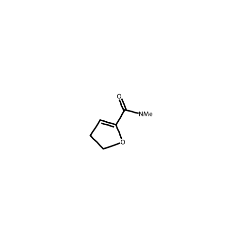 CNC(=O)C1=CCCO1